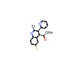 CCc1nc2ccc(F)cc2c(C(=O)OC)c1-c1ccccn1